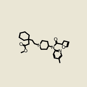 COC(=O)CC1(CCN2CCC(N(C(=O)C3CC=CO3)c3ccc(C)cn3)CC2)CCCCC1